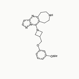 COc1cccc(OCC2CN(c3c4c(nc5ccnn35)CCNCC4)C2)c1